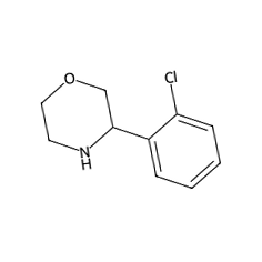 Clc1ccccc1C1COCCN1